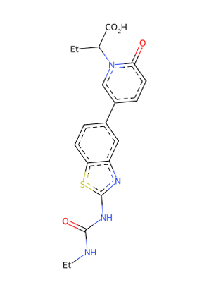 CCNC(=O)Nc1nc2cc(-c3ccc(=O)n(C(CC)C(=O)O)c3)ccc2s1